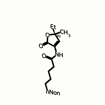 CCCCCCCCCCCCCC(=O)NC1=C[C@](C)(CC)OC1=O